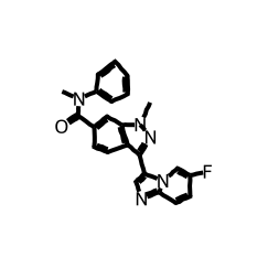 CN(C(=O)c1ccc2c(-c3cnc4ccc(F)cn34)nn(C)c2c1)c1ccccc1